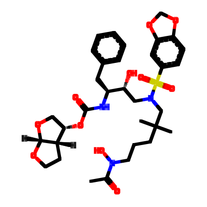 CC(=O)N(O)CCCC(C)(C)CN(C[C@@H](O)[C@H](Cc1ccccc1)NC(=O)O[C@H]1CO[C@H]2OCC[C@H]21)S(=O)(=O)c1ccc2c(c1)OCO2